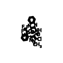 Cc1nn(C)c(Cl)c1S(=O)(=O)Nc1nc2ccccc2nc1OC(c1ccccc1)C(F)(F)F